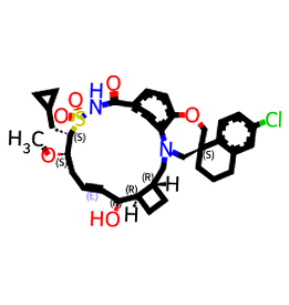 CO[C@H]1C/C=C/[C@H](O)[C@@H]2CC[C@H]2CN2C[C@@]3(CCCc4cc(Cl)ccc43)COc3ccc(cc32)C(=O)NS(=O)(=O)[C@H]1CC1CC1